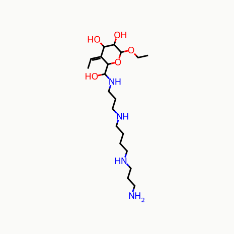 C/C=C1/C(O)C(O)C(OCC)OC1C(O)NCCCNCCCCNCCCN